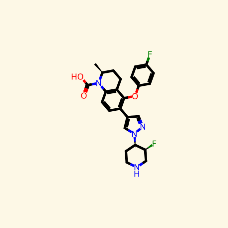 C[C@H]1CCc2c(ccc(-c3cnn([C@@H]4CCNC[C@@H]4F)c3)c2Oc2ccc(F)cc2)N1C(=O)O